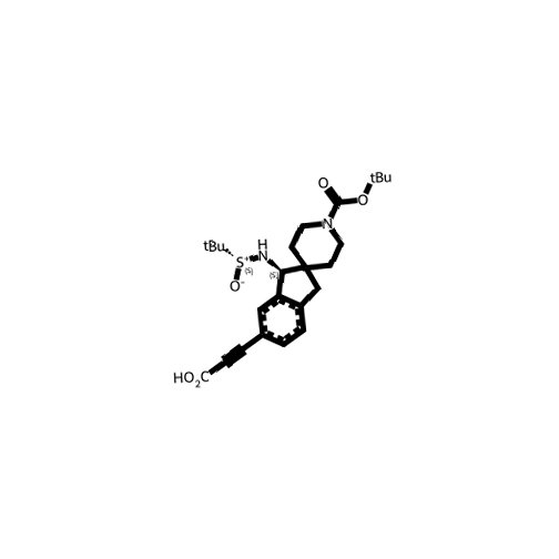 CC(C)(C)OC(=O)N1CCC2(CC1)Cc1ccc(C#CC(=O)O)cc1[C@H]2N[S@+]([O-])C(C)(C)C